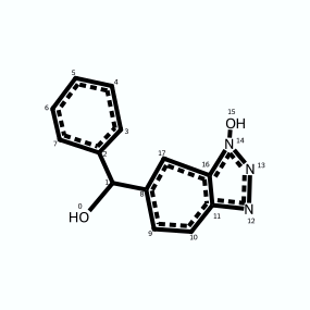 OC(c1ccccc1)c1ccc2nnn(O)c2c1